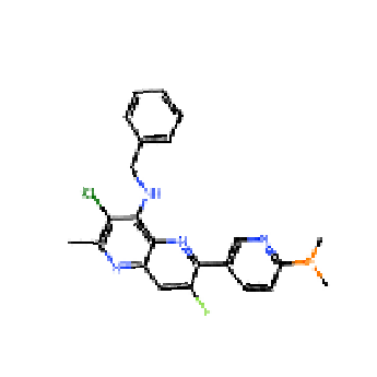 Cc1nc2cc(F)c(-c3ccc(P(C)C)nc3)nc2c(NCc2ccccc2)c1Cl